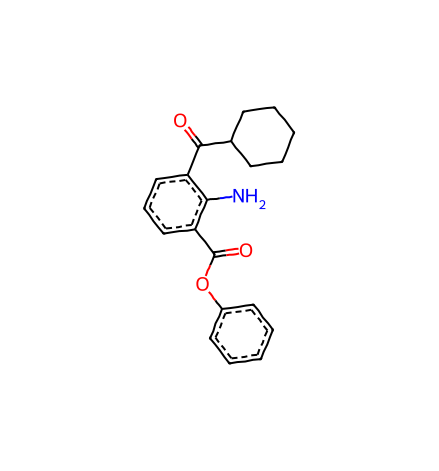 Nc1c(C(=O)Oc2ccccc2)cccc1C(=O)C1CCCCC1